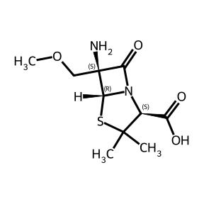 COC[C@]1(N)C(=O)N2[C@@H](C(=O)O)C(C)(C)S[C@@H]21